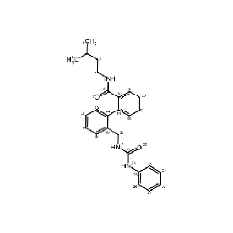 CC(C)CCNC(=O)c1ccccc1-c1ccccc1CNC(=O)Nc1ccccc1